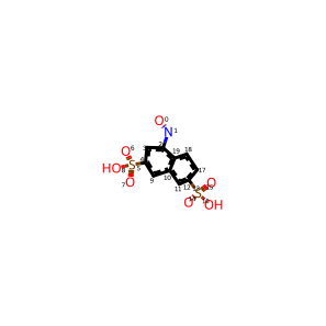 O=Nc1cc(S(=O)(=O)O)cc2cc(S(=O)(=O)O)ccc12